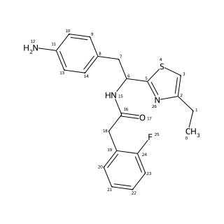 CCc1csc(C(Cc2ccc(N)cc2)NC(=O)Cc2ccccc2F)n1